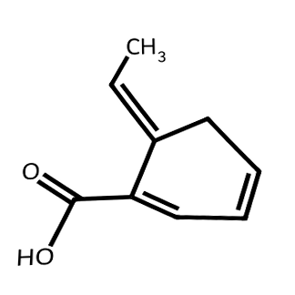 CC=C1CC=CC=C1C(=O)O